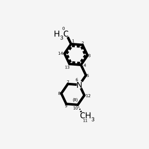 Cc1ccc(CN2CCC[C@@H](C)C2)cc1